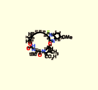 COc1ccc2nc3c(nc2c1)O[C@H]1CN(C(=O)[C@H](C(C)(C)C)NC(=O)O[C@@H]2C[C@H]2CCCCC3F)[C@H](C(=O)O)[C@@H]1C